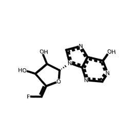 Oc1ncnc2c1ncn2[C@@H]1O/C(=C/F)C(O)C1O